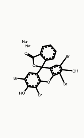 O=C1OC2(c3ccccc31)c1cc(Br)c(O)c(Br)c1Oc1c2cc(Br)c(O)c1Br.[Na].[Na]